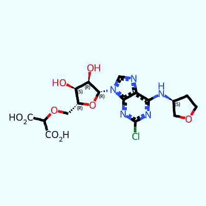 O=C(O)C(OC[C@H]1O[C@@H](n2cnc3c(N[C@H]4CCOC4)nc(Cl)nc32)[C@H](O)[C@@H]1O)C(=O)O